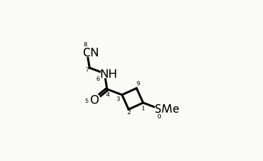 CSC1CC(C(=O)NCC#N)C1